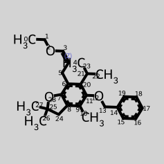 CCO/C=C\Cc1c2c(c(C)c(OCc3ccccc3)c1C(C)C)CC(C)(C)O2